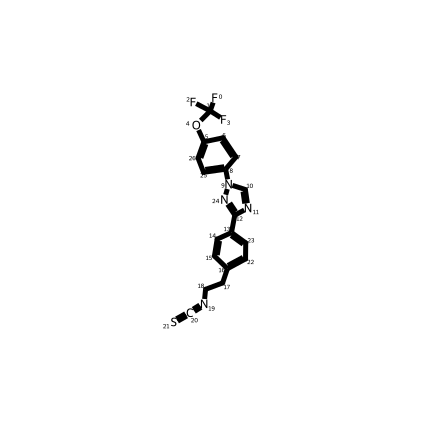 FC(F)(F)Oc1ccc(-n2cnc(-c3ccc(CCN=C=S)cc3)n2)cc1